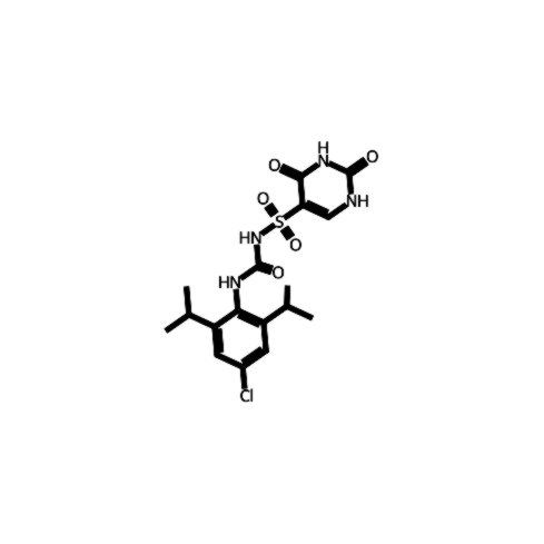 CC(C)c1cc(Cl)cc(C(C)C)c1NC(=O)NS(=O)(=O)c1c[nH]c(=O)[nH]c1=O